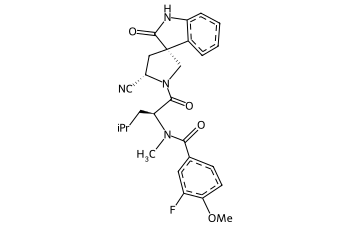 COc1ccc(C(=O)N(C)[C@@H](CC(C)C)C(=O)N2C[C@]3(C[C@H]2C#N)C(=O)Nc2ccccc23)cc1F